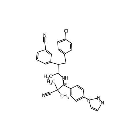 CC(N[C@@H](c1ccc(-n2ccnn2)cc1)C(C)(C)C#N)C(Cc1ccc(Cl)cc1)c1cccc(C#N)c1